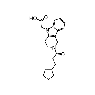 O=C(O)Cn1c2c(c3ccccc31)CN(C(=O)CCC1CCCC1)CC2